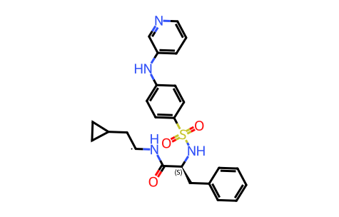 O=C(N[CH]CC1CC1)[C@H](Cc1ccccc1)NS(=O)(=O)c1ccc(Nc2cccnc2)cc1